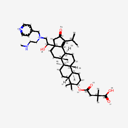 CNCCN(Cc1ccncc1)CC(O)C12CC[C@]3(C)[C@H](CC[C@@H]4[C@@]5(C)CC[C@H](OC(=O)CC(C)(C)C(=O)O)C(C)(C)[C@@H]5CC[C@]43C)C1=C(C(C)C)C(=O)C2